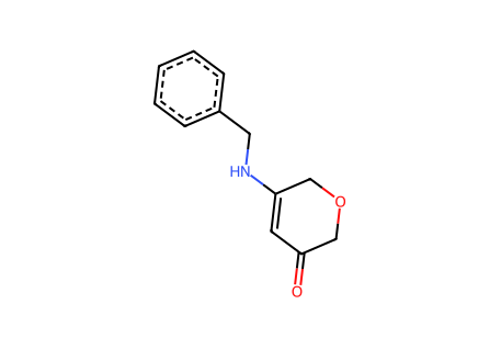 O=C1C=C(NCc2ccccc2)COC1